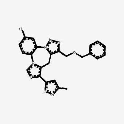 Cc1cc(-c2ncn3c2Cc2c(COCc4ccccc4)nnn2-c2cc(Cl)ccc2-3)on1